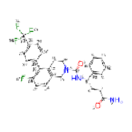 NC(=O)CC[C@H](NC(=O)N1CCc2c(ccc(F)c2-c2ccc(C(F)(F)F)cc2)C1)c1ccccc1